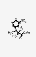 COC(=O)C(C)(C)C(C)c1cccc([N+](=O)[O-])c1